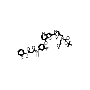 COCCN(Cc1cnc(-c2cc3nccc(Oc4ccc(NC(=O)CC(=O)Nc5ccccc5F)cc4F)c3s2)n1C)C(=O)OC(C)(C)C